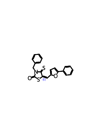 O=C1S/C(=C/c2ccc(-c3ccccc3)o2)C(=S)N1Cc1ccccc1